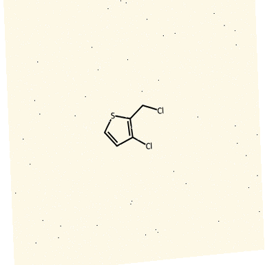 ClCc1sccc1Cl